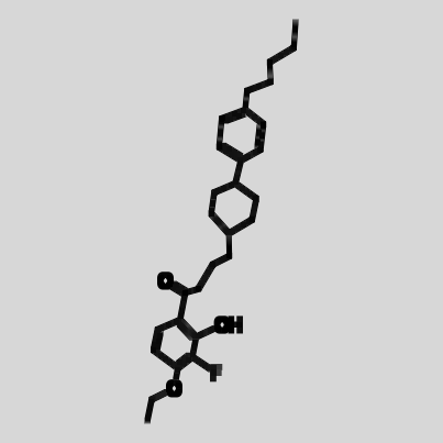 CCCCCc1ccc(C2CCC(CCCC(=O)c3ccc(OCC)c(F)c3O)CC2)cc1